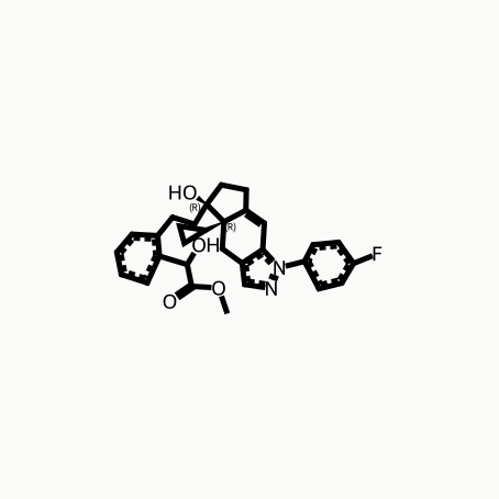 COC(=O)C(O)c1ccccc1CC[C@]1(O)CCC2=Cc3c(cnn3-c3ccc(F)cc3)C[C@@]21C1CC1